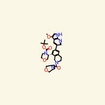 COc1c[nH]c2ncc(-c3cc4c(c([C@@H]5COCCN5C(=O)OC(C)(C)C)c3)CN(C(=O)N3C5CCC3COC5)CC4)cc12